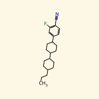 CCCC1CCC(C2CC[C](c3ccc(C#N)c(F)c3)CC2)CC1